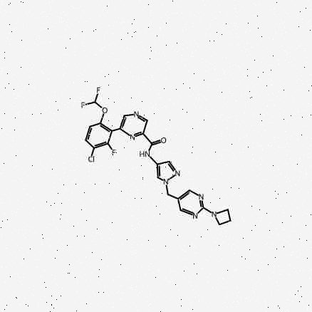 O=C(Nc1cnn(Cc2cnc(N3CCC3)nc2)c1)c1cncc(-c2c(OC(F)F)ccc(Cl)c2F)n1